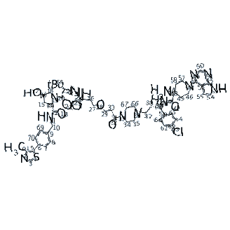 Cc1ncsc1-c1ccc(CNC(=O)[C@@H]2C[C@@H](O)CN2C(=O)C(NC(=O)CCOCCC(=O)N2CCN(CC[C@H](NC(=O)C3(N)CCN(c4ncnc5[nH]ccc45)CC3)c3ccc(Cl)cc3)CC2)C(C)(C)C)cc1